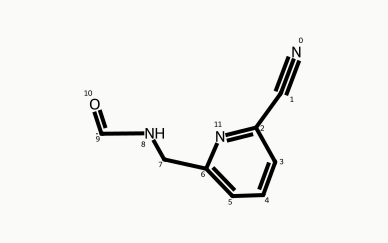 N#Cc1cccc(CN[C]=O)n1